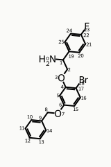 NC(COc1cc(OCc2ccccc2)ccc1Br)c1ccc(F)cc1